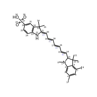 CN1c2cc(I)cc(I)c2C(C)(C)C1/C=C/C=C/C=C/C=C1\Nc2ccc(S(=O)(=O)O)cc2C1(C)C